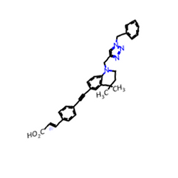 CC1(C)CCN(Cc2cn(Cc3ccccc3)nn2)c2ccc(C#Cc3ccc(/C=C/C(=O)O)cc3)cc21